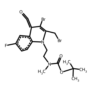 CN(CCN1C(CBr)=C(Br)C(=C=O)c2cc(F)ccc21)C(=O)OC(C)(C)C